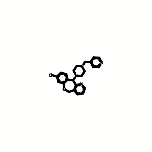 Clc1ccc2c(c1)OCc1cccnc1C2N1CCN(Cc2ccncc2)CC1